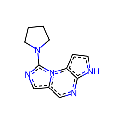 c1cc2c(ncc3cnc(N4CCCC4)n32)[nH]1